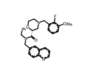 COc1cccc(CN2CCO[C@@H](C(=O)N(Cc3ccc4ncccc4c3)CC(C)C)C2)c1F